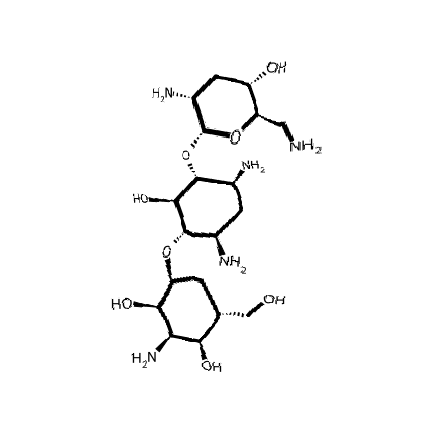 NC[C@H]1O[C@H](O[C@H]2[C@H](O)[C@@H](O[C@H]3C[C@H](CO)[C@@H](O)[C@@H](N)[C@H]3O)[C@H](N)C[C@@H]2N)[C@H](N)C[C@@H]1O